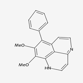 COc1c(OC)c2c3c(nccc3c1-c1ccccc1)C=CN2